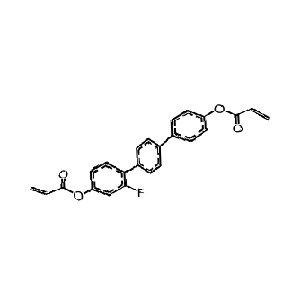 C=CC(=O)Oc1ccc(-c2ccc(-c3ccc(OC(=O)C=C)cc3F)cc2)cc1